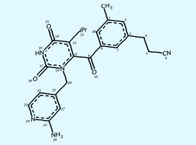 Cc1cc(CCC#N)cc(C(=O)c2c(C(C)C)c(=O)[nH]c(=O)n2Cc2ccnc(N)c2)c1